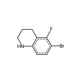 Fc1c(Br)ccc2c1CCCN2